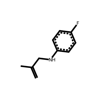 C=C(C)CNc1ccc(F)cc1